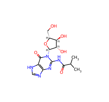 CC(C)C(=O)Nc1nc2nc[nH]c2c(=O)n1[C@@H]1O[C@H](CO)[C@@H](O)[C@@H]1O